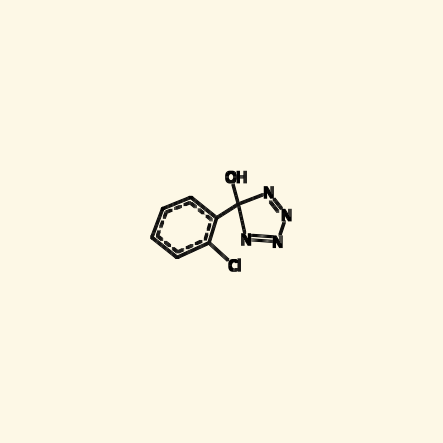 OC1(c2ccccc2Cl)N=NN=N1